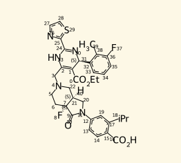 CCOC(=O)C1=C(CN2CC[C@]3(F)C(=O)N(c4ccc(C(=O)O)c(C(C)C)c4)C[C@@H]3C2)NC(c2nccs2)=N[C@H]1c1cccc(F)c1C